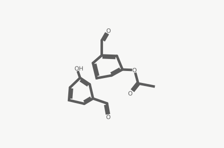 CC(=O)Oc1cccc(C=O)c1.O=Cc1cccc(O)c1